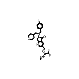 C=N/N=C(\OCc1cnc2c(c1)C(=O)N(N(Cc1ccc(F)cc1)CC1CCOCC1)C2)C(F)F